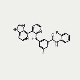 Cc1cc(Nc2ncccc2-c2ncnc3[nH]cnc23)cc(C(=O)Nc2ccccc2F)c1